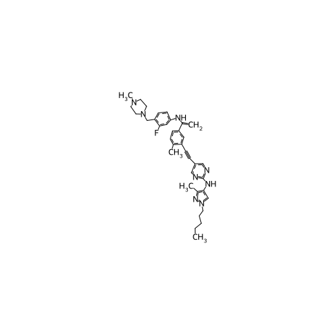 C=C(Nc1ccc(CN2CCN(C)CC2)c(F)c1)c1ccc(C)c(C#Cc2cnc(Nc3cn(CCCCC)nc3C)nc2)c1